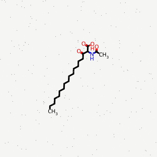 CCCCCCCCCCCCCCCC(=O)C(NC(C)=O)C(=O)O